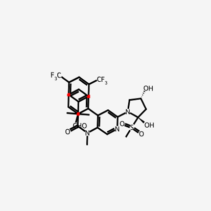 CN(C(=O)C(C)(C)c1cc(C(F)(F)F)cc(C(F)(F)F)c1)c1cnc(N2C[C@H](O)C[C@]2(O)S(C)(=O)=O)cc1-c1ccccc1C=O